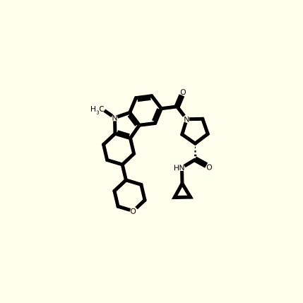 Cn1c2c(c3cc(C(=O)N4CC[C@H](C(=O)NC5CC5)C4)ccc31)CC(C1CCOCC1)CC2